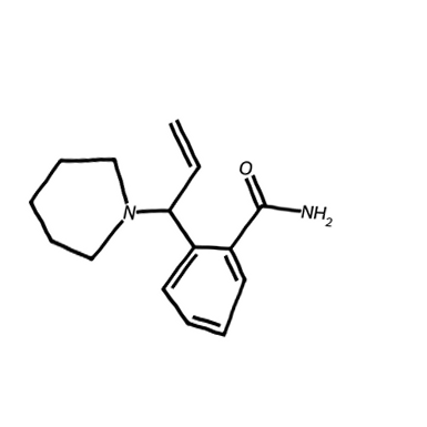 C=CC(c1ccccc1C(N)=O)N1CCCCC1